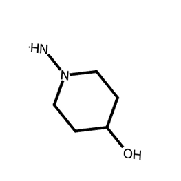 [NH]N1CCC(O)CC1